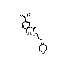 Nc1ccc([N+](=O)[O-])cc1C(=O)NCCCN1CCOCC1